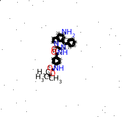 CC(C)(C)OC(=O)Nc1ccc(C(=O)N[C@@H]2N=C(c3ccccc3)c3cc(N)cc4c3N(CC4)C2=O)cc1